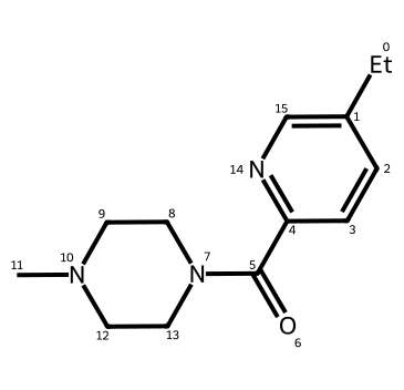 CCc1ccc(C(=O)N2CCN(C)CC2)nc1